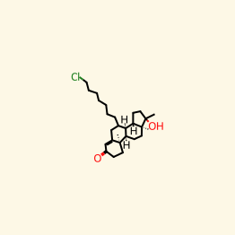 CC1(O)CC[C@H]2[C@@H]3C(CCCCCCCCl)CC4=CC(=O)CC[C@]4(C)[C@@H]3CC[C@@]21C